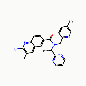 Cc1cc2cc(C(=O)N(Cc3ccc(C(F)(F)F)cn3)C(c3ncccn3)C(C)C)ccc2nc1N